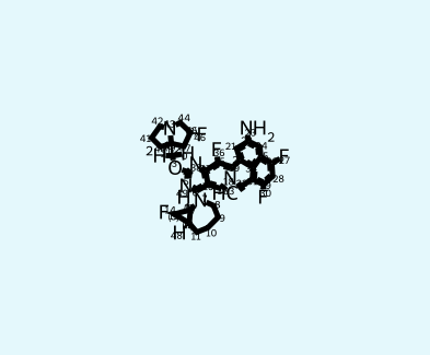 [2H]C([2H])(Oc1nc(N2CCCC[C@H]3[C@H](F)[C@H]32)c2cnc(-c3cc(N)cc4c(F)cc(F)c(C#C)c34)c(F)c2n1)[C@@]12CCCN1C[C@H](F)C2